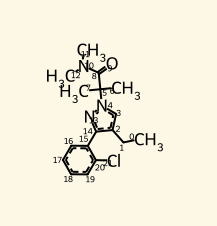 CCc1cn(C(C)(C)C(=O)N(C)C)nc1-c1ccccc1Cl